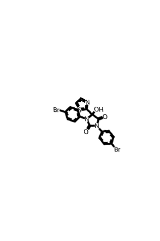 O=C1N(c2ccc(Br)cc2)C(=O)C(O)(c2nccs2)N1c1ccc(Br)cc1